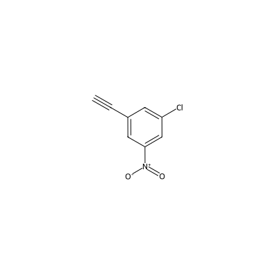 C#Cc1cc(Cl)cc([N+](=O)[O-])c1